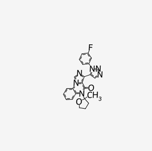 CC1(n2c(=O)c3c(-c4cnnn4-c4cccc(F)c4)ncn3c3ccccc32)CCCO1